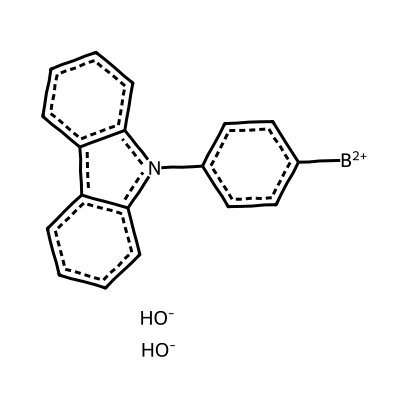 [B+2]c1ccc(-n2c3ccccc3c3ccccc32)cc1.[OH-].[OH-]